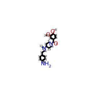 COc1ccc(C(=O)N2CCC(N(C)CCc3ccc(N)cc3)CC2)cc1OC